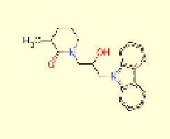 CC1CCCN(CC(O)Cn2c3ccccc3c3ccccc32)C1=O